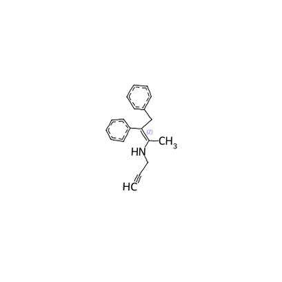 C#CCN/C(C)=C(/Cc1ccccc1)c1ccccc1